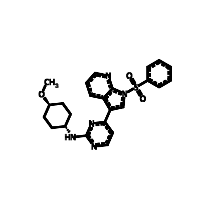 CO[C@H]1CC[C@H](Nc2nccc(-c3cn(S(=O)(=O)c4ccccc4)c4ncccc34)n2)CC1